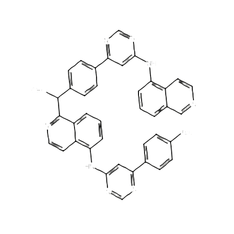 CC(C)(C)c1ccc(-c2cc(Nc3cccc4c(C(C=O)c5ccc(-c6cc(Nc7cccc8cnccc78)ncn6)cc5)nccc34)ncn2)cc1